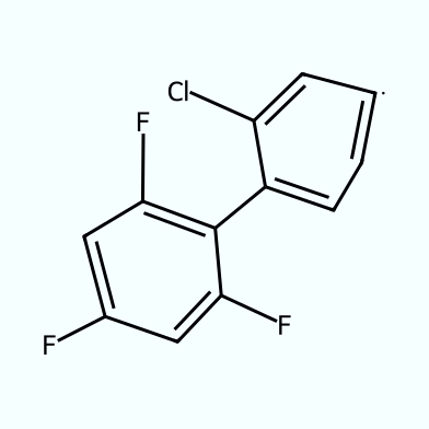 Fc1cc(F)c(-c2cc[c]cc2Cl)c(F)c1